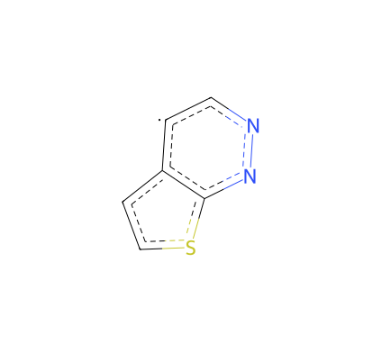 [c]1cnnc2sccc12